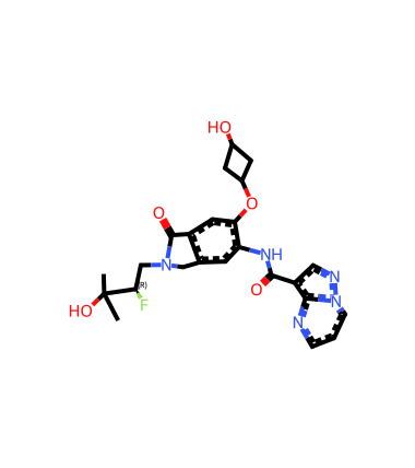 CC(C)(O)[C@H](F)CN1Cc2cc(NC(=O)c3cnn4cccnc34)c(OC3CC(O)C3)cc2C1=O